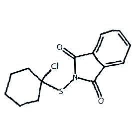 O=C1c2ccccc2C(=O)N1SC1(Cl)CCCCC1